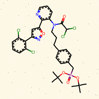 CC(C)(C)OP(=O)(Cc1ccc(CCCN(C(=O)C(Cl)Cl)c2cccnc2-c2cc(-c3c(Cl)cccc3Cl)no2)cc1)OC(C)(C)C